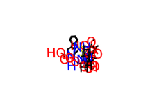 COc1c(C)cc2c(c1O)C1[C@@H]3[C@@H]4SC[C@]5(N[C@H](C(=O)O)Cc6c5[nH]c5ccccc65)C(=O)OC[C@@H](c5c6c(c(C)c(OC(C)=O)c54)OCO6)N3[C@@H](O)[C@H]3CC2(C)N13